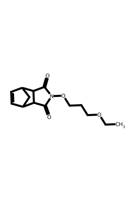 CCOCCCON1C(=O)C2C3C=CC(C3)C2C1=O